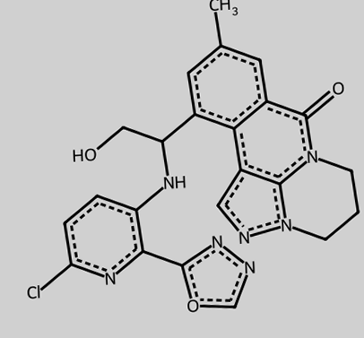 Cc1cc(C(CO)Nc2ccc(Cl)nc2-c2nnco2)c2c(c1)c(=O)n1c3c2cnn3CCC1